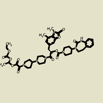 CCOC(=O)OC(C)OC(=O)C(=O)N1CCC(N2CCN(C(=O)[C@@H](Cc3cc(C)c4c(c3)oc(=O)n4C)OC(=O)N3CCC(N4CCc5ccccc5NC4=O)CC3)CC2)CC1